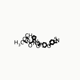 C[C@@H]1CN(C(=O)c2nn(CC(=O)N3CCC(Oc4ccc5sncc5c4)CC3)c3c2CCC3)C[C@H](C)O1